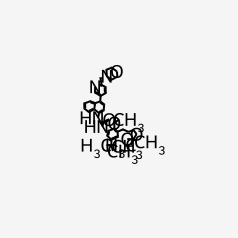 COc1c(CC2COC(C)(C)O2)cc(C(C)(C)C)cc1NC(=O)Nc1ccc(-c2ccc(CN3CCOCC3)nc2)c2ccccc12